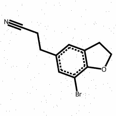 N#CCCc1cc(Br)c2c(c1)CCO2